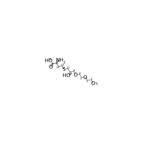 COCCOCCOCC(O)CSCC[C@H](N)C(=O)O